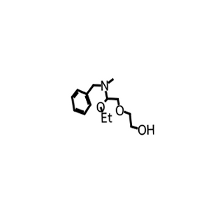 CCOC(COCCO)N(C)Cc1ccccc1